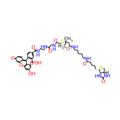 CC(C)(CC(=O)NCCCCCNC(=O)CCCC[C@@H]1SC[C@@H]2NC(=O)NC21)SCC(=O)NCC(=O)NCCNC(=O)c1ccc(-c2c3ccc(=O)cc-3oc3cc(O)ccc23)c(C(=O)O)c1